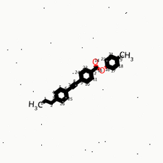 CCCc1ccc(C#Cc2ccc(C(=O)Oc3ccc(C)cc3)cc2)cc1